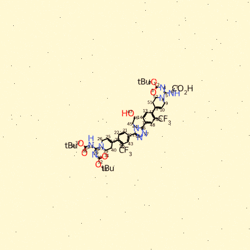 CC(C)(C)OC(=O)/N=C(/NC(=O)O)N1CC=C(c2ccc(-c3nnc(-c4ccc(C5=CCN(/C(=N\C(=O)OC(C)(C)C)NC(=O)OC(C)(C)C)CC5)c(C(F)(F)F)c4)n3CCO)cc2C(F)(F)F)CC1